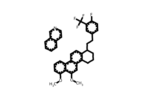 COc1cccc2c1c(OC)cc1c3c(ccc12)C(CCc1ccc(F)c(C(F)(F)F)c1)CCC3.c1ccc2cnccc2c1